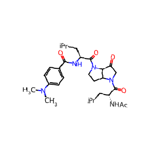 CC(=O)N[C@H](CC(C)C)C(=O)N1CC(=O)C2C1CCN2C(=O)[C@H](CC(C)C)NC(=O)c1ccc(N(C)C)cc1